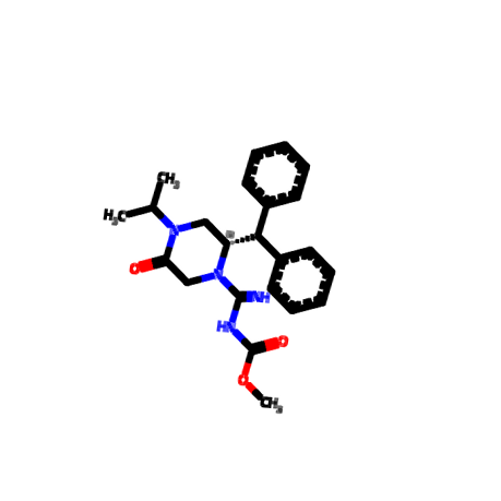 COC(=O)NC(=N)N1CC(=O)N(C(C)C)C[C@@H]1C(c1ccccc1)c1ccccc1